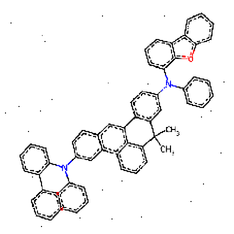 CC1(C)c2cc(N(c3ccccc3)c3cccc4c3oc3ccccc34)ccc2-c2cc3ccc(N(c4ccccc4)c4ccccc4-c4ccccc4)cc3c3cccc1c23